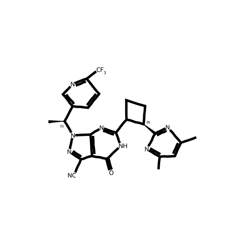 Cc1cc(C)nc([C@@H]2CCC2c2nc3c(c(C#N)nn3[C@@H](C)c3ccc(C(F)(F)F)nc3)c(=O)[nH]2)n1